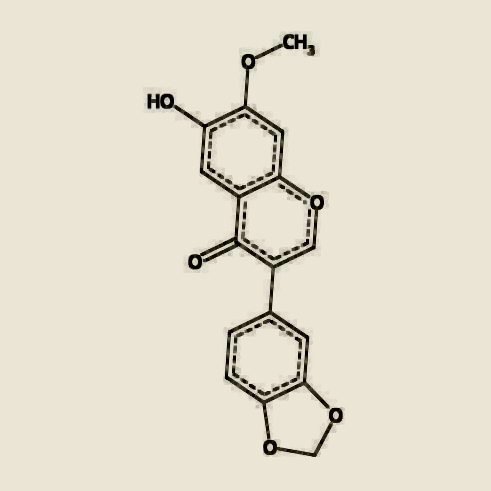 COc1cc2occ(-c3ccc4c(c3)OCO4)c(=O)c2cc1O